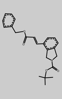 CC(C)(C)OC(=O)N1Cc2cccc(/C=C/C(=O)OCc3ccccc3)c2C1